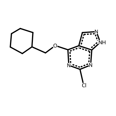 Clc1nc(OCC2CCCCC2)c2cn[nH]c2n1